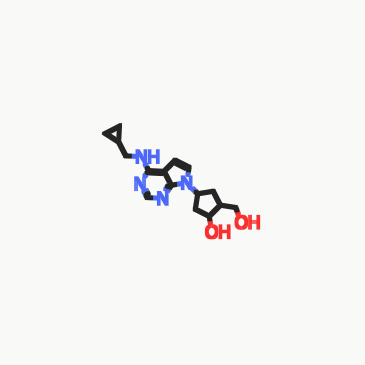 OCC1CC(n2ccc3c(NCC4CC4)ncnc32)CC1O